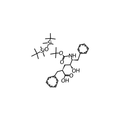 CC(C)(C)OC(=O)N[C@@H](Cc1ccccc1)[C@@H](O)C[C@H](Cc1ccccc1)C(=O)O.CC(C)(C)[Si](C)(C)O[Si](C)(C)C(C)(C)C